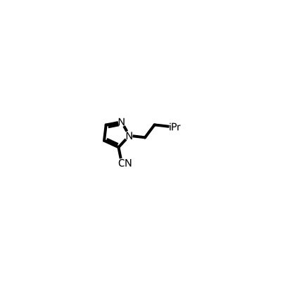 CC(C)CCn1nccc1C#N